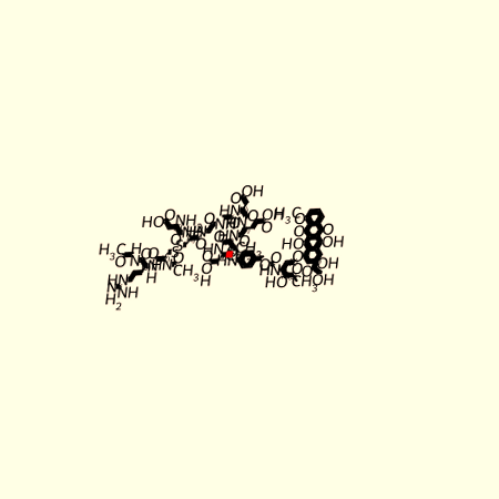 COc1cccc2c1C(=O)c1c(O)c3c(c(O)c1C2=O)C[C@@](O)(C(=O)CO)C[C@@H]3O[C@H]1C[C@H](NC(=O)OCc2ccc(NC(=O)[C@H](CC(=O)O)NC(=O)[C@@H](NC(=O)[C@H](CCC(=O)O)NC(=O)[C@H](CC(=O)O)NC(=O)CNC(=O)CNC(=O)[C@H](CSSC[C@H](NC(C)=O)C(=O)N[C@@H](CCCNC(=N)N)C(=O)NCC(C)=O)NC(=O)[C@@H](N)CC(=O)O)C(C)C)cc2)[C@H](O)[C@H](C)O1